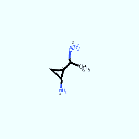 CC(N)C1CC1N